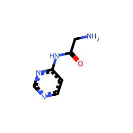 NCC(=O)Nc1ccncn1